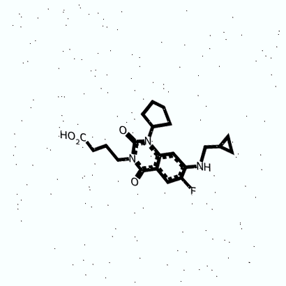 O=C(O)CCCn1c(=O)c2cc(F)c(NCC3CC3)cc2n(C2CCCC2)c1=O